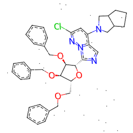 Clc1cc(N2CC3CCCC3C2)c2cnc([C@@H]3O[C@H](COCc4ccccc4)[C@@H](OCc4ccccc4)[C@H]3OCc3ccccc3)n2n1